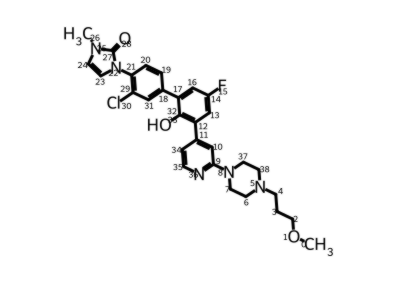 COCCCN1CCN(c2cc(-c3cc(F)cc(-c4ccc(-n5ccn(C)c5=O)c(Cl)c4)c3O)ccn2)CC1